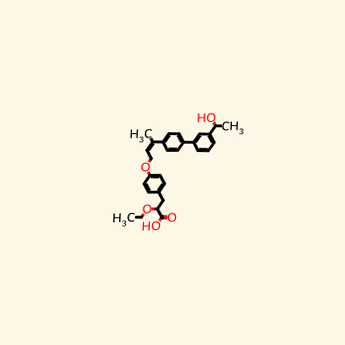 CCOC(Cc1ccc(OCC=C(C)c2ccc(-c3cccc(C(C)O)c3)cc2)cc1)C(=O)O